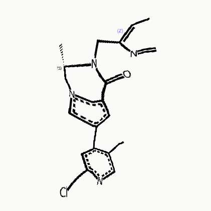 C=N/C(=C\C)CN1C(=O)c2cc(-c3cc(Cl)ncc3C)cn2C[C@@H]1C